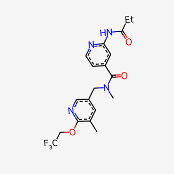 CCC(=O)Nc1cc(C(=O)N(C)Cc2cnc(OCC(F)(F)F)c(C)c2)ccn1